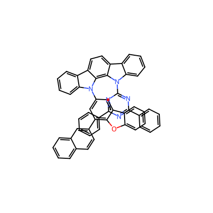 c1ccc(-c2nc(-c3ccccc3)nc(-n3c4ccccc4c4ccc5c6ccccc6n(-c6cc(-c7ccc8ccccc8c7)c7oc8ccccc8c7c6)c5c43)n2)cc1